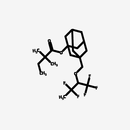 CCC(C)(C)C(=O)OC12CC3CC(CC(COC(C(C)(F)F)C(F)(F)F)(C3)C1)C2